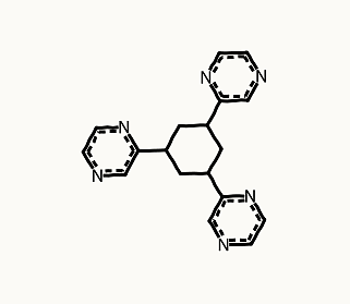 c1cnc(C2CC(c3cnccn3)CC(c3cnccn3)C2)cn1